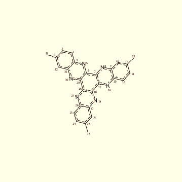 Cc1ccc2nc3c4nc5cc(C)ccc5nc4c4nc5cc(C)ccc5nc4c3nc2c1